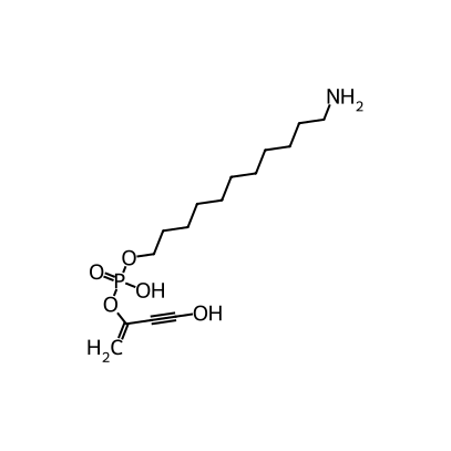 C=C(C#CO)OP(=O)(O)OCCCCCCCCCCCN